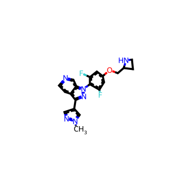 Cn1cc(-c2nn(-c3c(F)cc(OCC4CCN4)cc3F)c3cnccc23)cn1